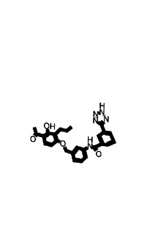 CCCc1c(OCc2cccc(NC(=O)c3cccc(-c4nn[nH]n4)c3)c2)ccc(C(C)=O)c1O